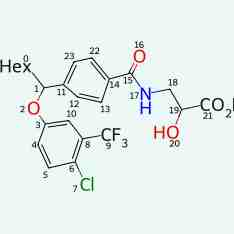 CCCCCCC(Oc1ccc(Cl)c(C(F)(F)F)c1)c1ccc(C(=O)NCC(O)C(=O)O)cc1